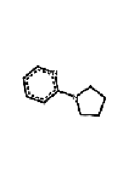 [c]1cccnc1N1CCCC1